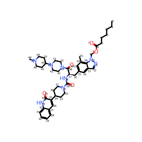 CCCCCCC(=O)OCn1ncc2cc(C[C@@H](NC(=O)N3CCC(c4cc5ccccc5[nH]c4=O)CC3)C(=O)N3CCN(C4CCN(C)CC4)CC3)cc(C)c21